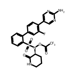 Nc1ncc(-c2ccc(-c3ccccc3S(=O)(=O)N(OC(=O)C(F)(F)F)[C@H]3CCCNC3=O)cc2F)cn1